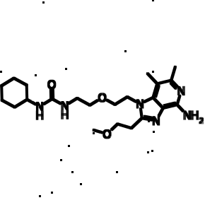 COCCc1nc2c(N)nc(C)c(C)c2n1CCOCCNC(=O)NC1CCCCC1